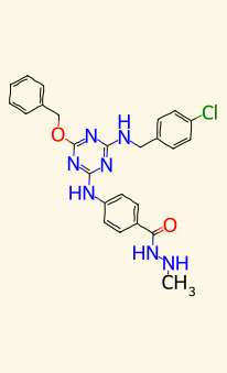 CNNC(=O)c1ccc(Nc2nc(NCc3ccc(Cl)cc3)nc(OCc3ccccc3)n2)cc1